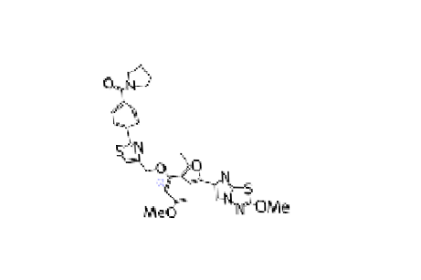 C=C(/C=C(/OCc1csc(-c2ccc(C(=O)N3CCCC3)cc2)n1)c1cc(-c2cn3nc(OC)sc3n2)oc1C)OC